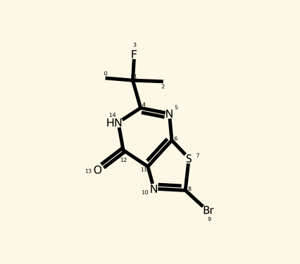 CC(C)(F)c1nc2sc(Br)nc2c(=O)[nH]1